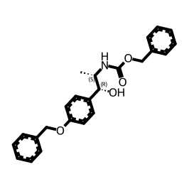 C[C@H](NC(=O)OCc1ccccc1)[C@H](O)c1ccc(OCc2ccccc2)cc1